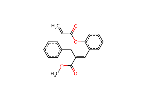 C=CC(=O)Oc1ccccc1C=C(Cc1ccccc1)C(=O)OC